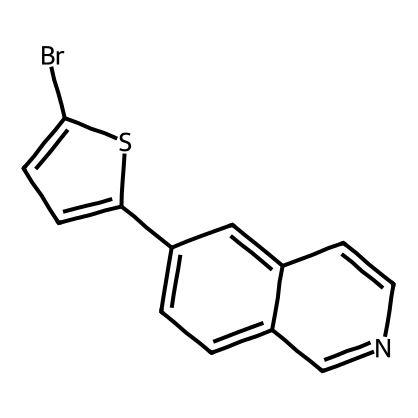 Brc1ccc(-c2ccc3cnccc3c2)s1